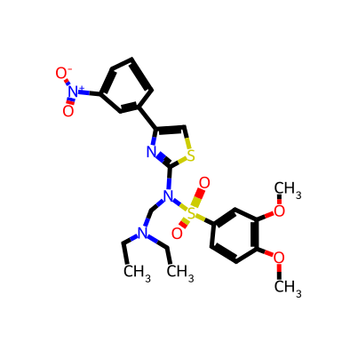 CCN(CC)CN(c1nc(-c2cccc([N+](=O)[O-])c2)cs1)S(=O)(=O)c1ccc(OC)c(OC)c1